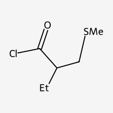 CCC(CSC)C(=O)Cl